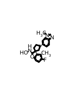 Cc1c(F)cccc1[C@]1(C(=O)NO)CC[C@H](c2ccc3ncn(C)c3c2)C1